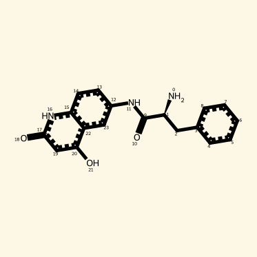 N[C@@H](Cc1ccccc1)C(=O)Nc1ccc2[nH]c(=O)cc(O)c2c1